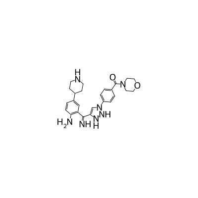 N=C(C1=CN(c2ccc(C(=O)N3CCOCC3)cc2)NN1)c1cc(C2CCNCC2)ccc1N